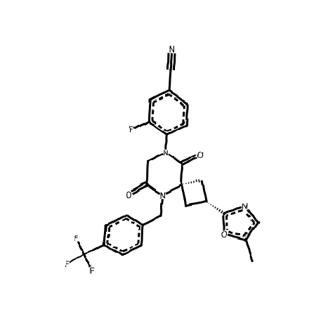 Cc1cnc([C@H]2C[C@@]3(C2)C(=O)N(c2ccc(C#N)cc2F)CC(=O)N3Cc2ccc(C(F)(F)F)cc2)o1